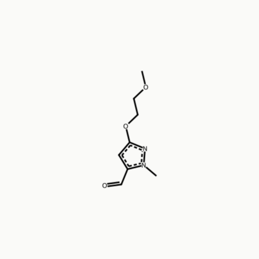 COCCOc1cc(C=O)n(C)n1